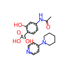 CC(=O)Nc1ccc([As](=O)(O)O)c(O)c1.c1cc(N2CCCCC2)ccn1